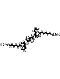 CCCCCCCCCCCCCCCC(=O)N1CCCC1C(=O)OC1COC2C(OC(=O)C3CCCN3C(=O)CCCCCCCCCCCCCCC)COC12